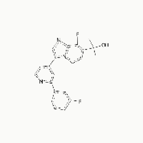 CC(C)(O)c1ccn2c(-c3ccnc(-c4cccc(F)c4)c3)cnc2c1F